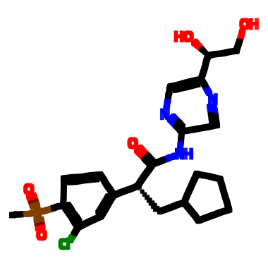 CS(=O)(=O)c1ccc([C@@H](CC2CCCC2)C(=O)Nc2cnc([C@@H](O)CO)cn2)cc1Cl